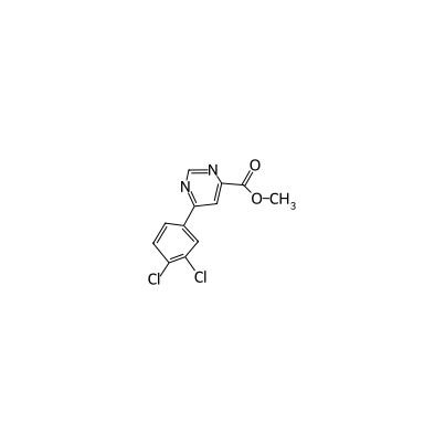 COC(=O)c1cc(-c2ccc(Cl)c(Cl)c2)ncn1